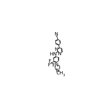 CN1CCN(c2ccc(Nc3nccc(-c4ccc(C#N)cc4)n3)cc2C(F)(F)F)CC1